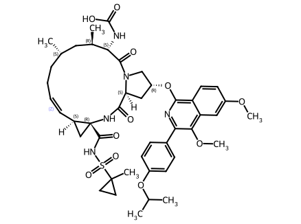 COc1ccc2c(O[C@@H]3C[C@H]4C(=O)N[C@]5(C(=O)NS(=O)(=O)C6(C)CC6)C[C@H]5/C=C\CC[C@H](C)C[C@@H](C)[C@H](NC(=O)O)C(=O)N4C3)nc(-c3ccc(OC(C)C)cc3)c(OC)c2c1